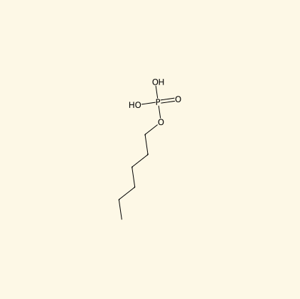 CCCCCCOP(=O)(O)O